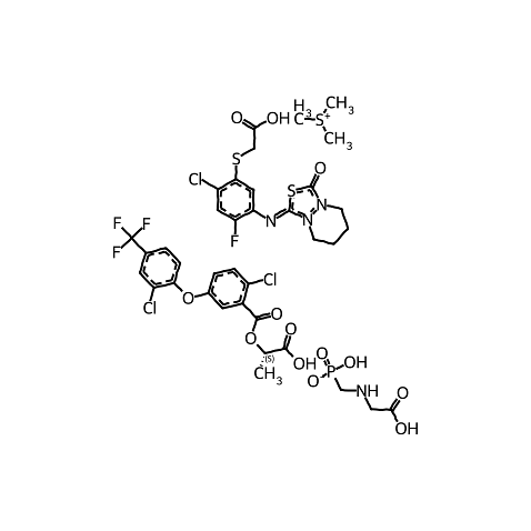 C[C@H](OC(=O)c1cc(Oc2ccc(C(F)(F)F)cc2Cl)ccc1Cl)C(=O)O.C[S+](C)C.O=C(O)CNCP(=O)([O-])O.O=C(O)CSc1cc(N=c2sc(=O)n3n2CCCC3)c(F)cc1Cl